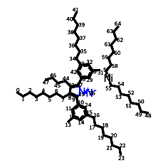 CCCCCCCCC1=C(c2cc(C)cc(CCCCCCCC)c2)[N+](=[N-])C(c2cc(C)cc(CCCCCCCC)c2)=C1CCCC.CCCCCCC[CH2][Ni][CH2]CCCCCCC